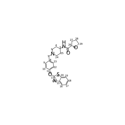 O=C(NC1CCN(Cc2ccc(Oc3nc4ccccc4s3)cc2)CC1)C1CCCO1